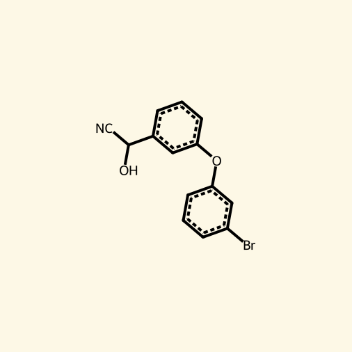 N#CC(O)c1cccc(Oc2cccc(Br)c2)c1